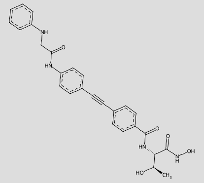 C[C@@H](O)[C@H](NC(=O)c1ccc(C#Cc2ccc(NC(=O)CNc3ccccc3)cc2)cc1)C(=O)NO